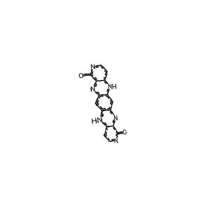 O=c1nccc2[nH]c3cc4nc5c(=O)nccc-5[nH]c4cc3nc1-2